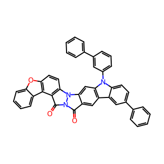 O=c1c2cc3c4cc(-c5ccccc5)ccc4n(-c4cccc(-c5ccccc5)c4)c3cc2n2c3ccc4oc5ccccc5c4c3c(=O)n12